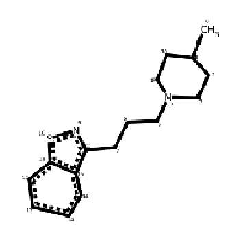 CC1CCN(CCCc2nsc3ccccc23)CC1